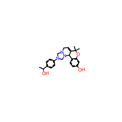 CC(O)c1ccc(N2CN3CC=C4C(c5ccc(O)cc5OC4(C)C)N3C2)cc1